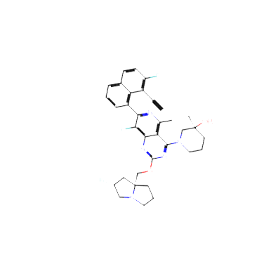 C#Cc1c(F)ccc2cccc(-c3nc(C)c4c(N5CCC[C@@](C)(O)C5)nc(OC[C@@]56CCCN5C[C@H](F)C6)nc4c3F)c12